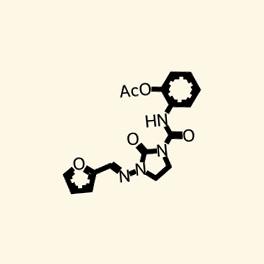 CC(=O)Oc1ccccc1NC(=O)N1CCN(N=Cc2ccco2)C1=O